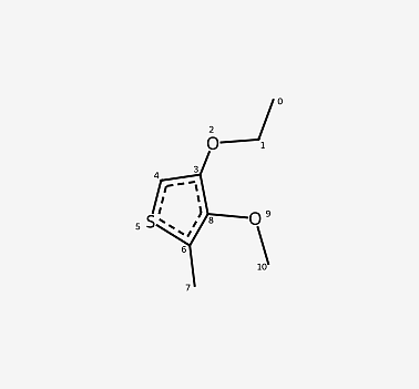 CCOc1csc(C)c1OC